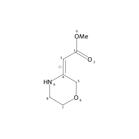 COC(=O)/C=C1\COCCN1